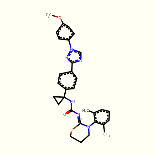 Cc1cccc(C)c1N1CCCS/C1=N\C(=O)NC1(c2ccc(-c3ncn(-c4ccc(OC(F)(F)F)cc4)n3)cc2)CC1